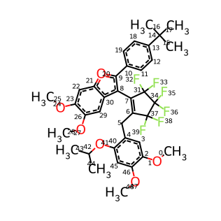 COc1cc(CC2=C(c3c(-c4ccc(C(C)(C)C)cc4)oc4cc(OC)c(OC)cc34)C(F)(F)C(F)(F)C2(F)F)c(OC(C)C)cc1OC